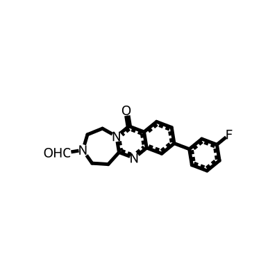 O=CN1CCc2nc3cc(-c4cccc(F)c4)ccc3c(=O)n2CC1